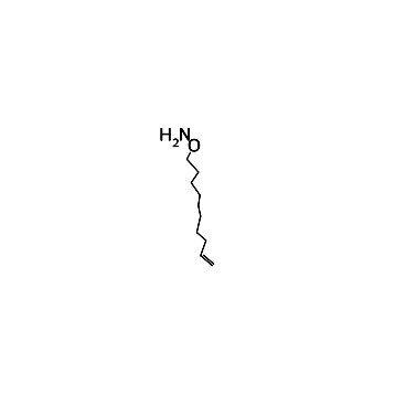 C=CCCCCCCCCON